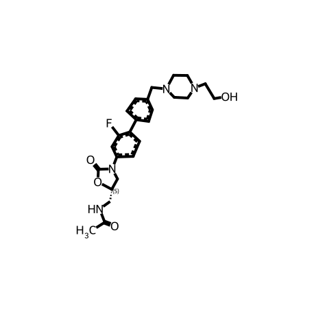 CC(=O)NC[C@H]1CN(c2ccc(-c3ccc(CN4CCN(CCO)CC4)cc3)c(F)c2)C(=O)O1